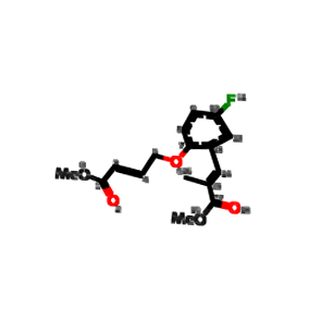 COC(=O)/C=C/COc1ccc(F)cc1/C=C(\C)C(=O)OC